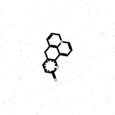 O=c1ccc2c(o1)C1=CC=CN3CC=CC(=C13)C2